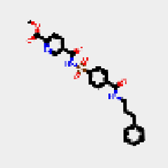 COC(=O)c1ccc(C(=O)NS(=O)(=O)c2ccc(C(=O)NCCCc3ccccc3)cc2)cn1